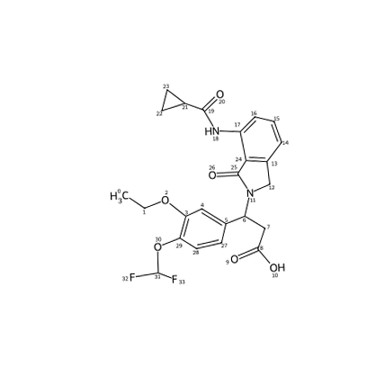 CCOc1cc(C(CC(=O)O)N2Cc3cccc(NC(=O)C4CC4)c3C2=O)ccc1OC(F)F